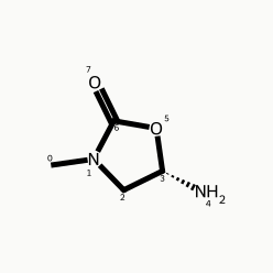 CN1C[C@@H](N)OC1=O